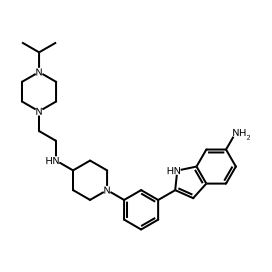 CC(C)N1CCN(CCNC2CCN(c3cccc(-c4cc5ccc(N)cc5[nH]4)c3)CC2)CC1